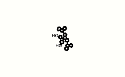 Oc1ccc(C2(c3ccc(O)cc3)c3cc(-c4cc5ccccc5c5ccccc45)ccc3-c3ccc(-c4cc5ccccc5c5ccccc45)cc32)cc1